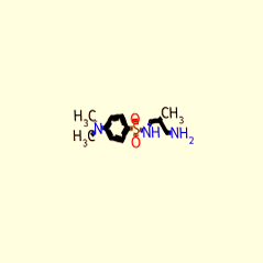 CC(CN)CNS(=O)(=O)c1ccc(N(C)C)cc1